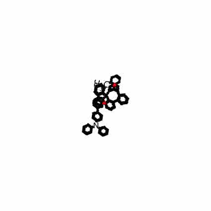 CC1CC=CC=C1c1c2cccc1C(c1ccccc1)(c1ccccc1-c1ccc(-c3ccc(N(c4ccccc4)c4ccccc4)cc3)cc1)c1ccccc1-c1ccccc1-2